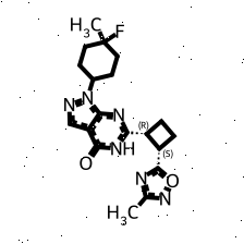 Cc1noc([C@H]2CC[C@H]2c2nc3c(cnn3C3CCC(C)(F)CC3)c(=O)[nH]2)n1